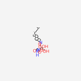 CC(C)CCC[C@@H](C)[C@H]1CCC2C3CC=C4CC(=NOCO[C@@H]5[C@H](O)[C@@H](CO)O[C@H]5n5ccc(=O)[nH]c5=O)CC[C@]4(C)C3CC[C@@]21C